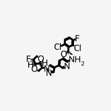 C[C@@H](Oc1cc(-c2cnn(C3CO[C@H]4[C@H](F)CO[C@@H]34)c2)cnc1N)c1c(Cl)ccc(F)c1Cl